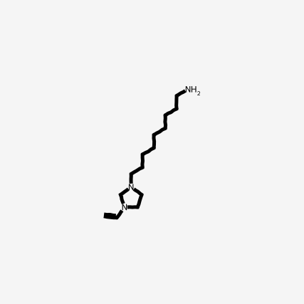 C=CN1CCN(CCCCCCCCCN)C1